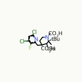 CC(C)(C)C1[C@@](Cc2nc(Cl)cc(Cl)c2F)(C(=O)O)CCN(C(=O)O)[C@@]1(C)C(C)(C)C